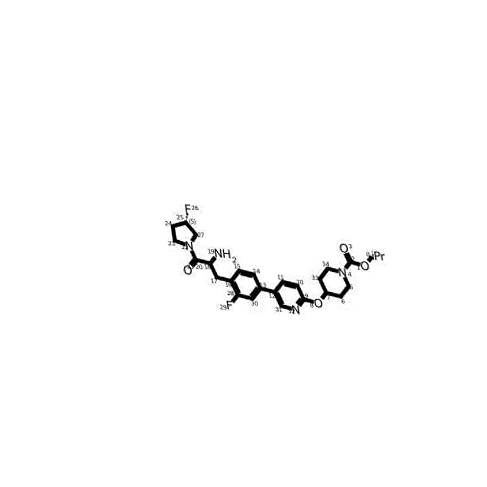 CC(C)OC(=O)N1CCC(Oc2ccc(-c3ccc(CC(N)C(=O)N4CC[C@H](F)C4)c(F)c3)cn2)CC1